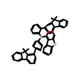 CC1(C)c2ccccc2-c2ccc(-c3ccccc3N(c3ccc(-c4cccc5c4C(C)(C)c4ccccc4-5)cc3)c3cccc4oc5ccccc5c34)cc21